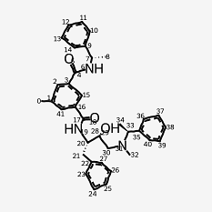 Cc1cc(C(=O)N[C@@H](C)c2ccccc2)cc(C(=O)N[C@@H](Cc2ccccc2)[C@H](O)CN(C)[C@@H](C)c2ccccc2)c1